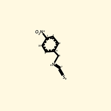 O=[N+]([O-])c1ccc(CN=C=S)cc1